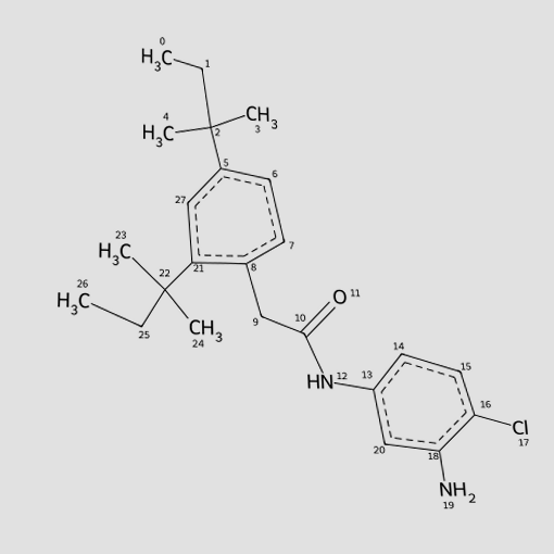 CCC(C)(C)c1ccc(CC(=O)Nc2ccc(Cl)c(N)c2)c(C(C)(C)CC)c1